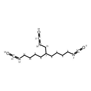 O=C=NCCCCC(CCCCN=C=O)CN=C=O